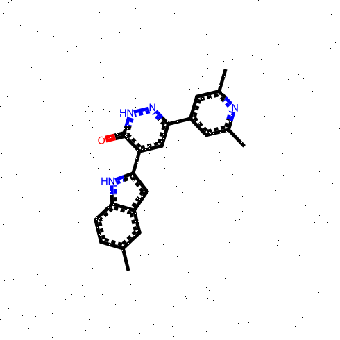 Cc1ccc2[nH]c(-c3cc(-c4cc(C)nc(C)c4)n[nH]c3=O)cc2c1